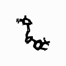 Cc1cnc(OCc2cn(-c3ccc(F)c(C(C)(F)F)c3)nn2)nc1N